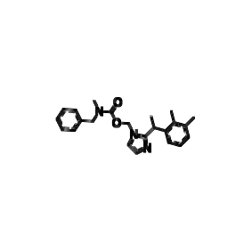 Cc1cccc(C(C)c2nccn2COC(=O)N(C)Cc2ccccc2)c1C